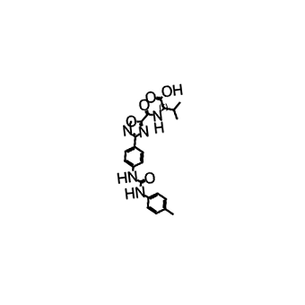 Cc1ccc(NC(=O)Nc2ccc(-c3noc(C(=O)N[C@H](C(=O)O)C(C)C)n3)cc2)cc1